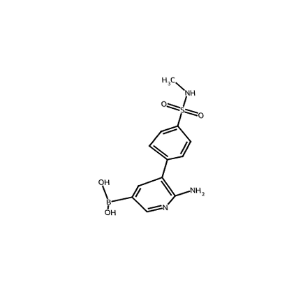 CNS(=O)(=O)c1ccc(-c2cc(B(O)O)cnc2N)cc1